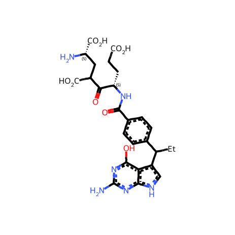 CCC(c1ccc(C(=O)N[C@@H](CCC(=O)O)C(=O)C(C[C@H](N)C(=O)O)C(=O)O)cc1)c1c[nH]c2nc(N)nc(O)c12